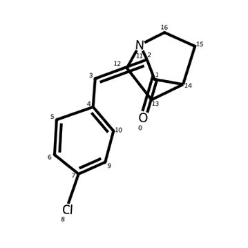 O=C1/C(=C\c2ccc(Cl)cc2)N2CCC1CC2